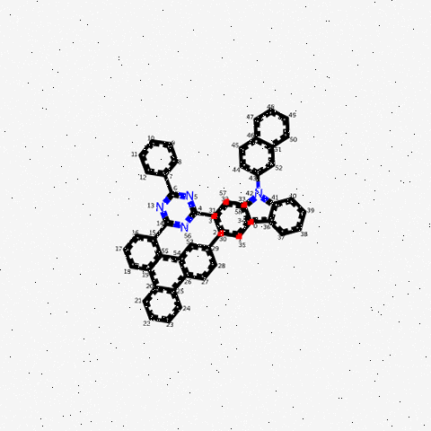 c1ccc(-c2nc(-c3ccccc3)nc(-c3cccc4c5ccccc5c5ccc(-c6ccc7c(c6)c6ccccc6n7-c6ccc7ccccc7c6)cc5c34)n2)cc1